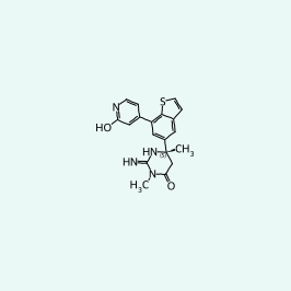 CN1C(=N)N[C@](C)(c2cc(-c3ccnc(O)c3)c3sccc3c2)CC1=O